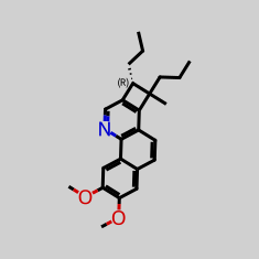 CCC[C@H]1c2cnc3c(ccc4cc(OC)c(OC)cc43)c2C1(C)CCC